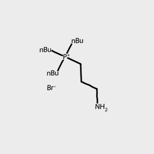 CCCC[P+](CCCC)(CCCC)CCCN.[Br-]